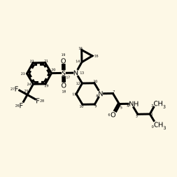 CC(C)CNC(=O)CN1CCCC(N(C2CC2)S(=O)(=O)c2cccc(C(F)(F)F)c2)C1